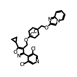 Clc1cncc(Cl)c1-c1noc(C2CC2)c1COC12CCC(COc3cn4ccccc4n3)(CC1)CC2